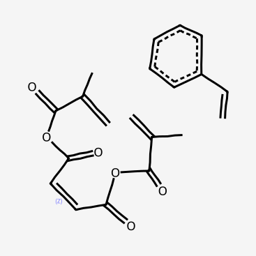 C=C(C)C(=O)OC(=O)/C=C\C(=O)OC(=O)C(=C)C.C=Cc1ccccc1